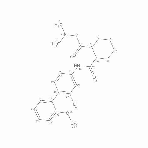 CN(C)CC(=O)N1CCCCC1C(=O)Nc1ccc(-c2ccccc2OC(F)(F)F)c(Cl)c1